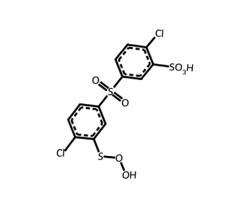 O=S(=O)(O)c1cc(S(=O)(=O)c2ccc(Cl)c(SOO)c2)ccc1Cl